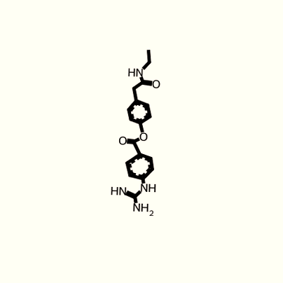 CCNC(=O)Cc1ccc(OC(=O)c2ccc(NC(=N)N)cc2)cc1